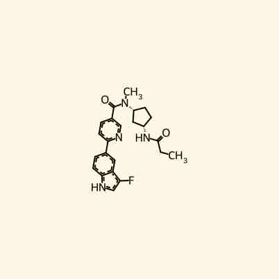 CCC(=O)N[C@H]1CC[C@@H](N(C)C(=O)c2ccc(-c3ccc4[nH]cc(F)c4c3)nc2)C1